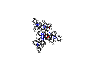 Cc1ccc2c(c1-n1c3cc4c(cc3c3c5c(ccc31)B1c3ccccc3N(c3ccccc3)c3cccc(c31)N5c1ccccc1)N(c1ccccc1)c1cccc3c1B4c1ccccc1N3c1ccccc1)N(c1ccccc1)c1cccc3c1B2c1ccccc1N3c1ccccc1